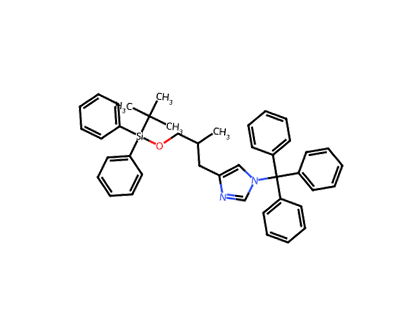 CC(CO[Si](c1ccccc1)(c1ccccc1)C(C)(C)C)Cc1cn(C(c2ccccc2)(c2ccccc2)c2ccccc2)cn1